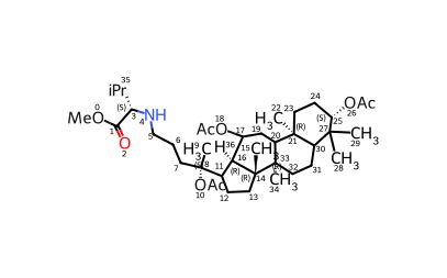 COC(=O)[C@@H](NCCC[C@](C)(OC(C)=O)C1CC[C@]2(C)[C@@H]1C(OC(C)=O)CC1[C@@]3(C)CC[C@H](OC(C)=O)C(C)(C)C3CC[C@]12C)C(C)C